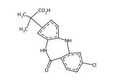 CC(C)(C(=O)O)c1ccc2c(c1)NC(=O)c1ccc(Cl)cc1N2